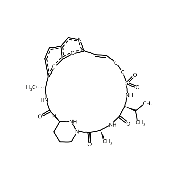 CC(C)[C@@H]1NS(=O)(=O)CC/C=C/c2cc3cc(ccc3cn2)[C@@H](C)NC(=O)[C@@H]2CCCN(N2)C(=O)[C@H](C)NC1=O